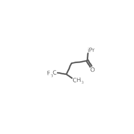 CC(C)C(=O)CC(C)C(F)(F)F